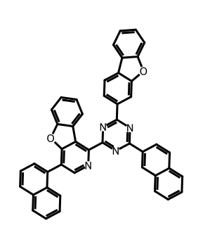 c1ccc2cc(-c3nc(-c4ccc5c(c4)oc4ccccc45)nc(-c4ncc(-c5cccc6ccccc56)c5oc6ccccc6c45)n3)ccc2c1